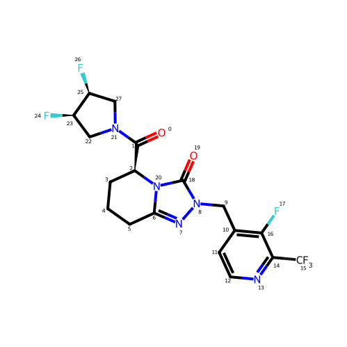 O=C([C@@H]1CCCc2nn(Cc3ccnc(C(F)(F)F)c3F)c(=O)n21)N1C[C@@H](F)[C@@H](F)C1